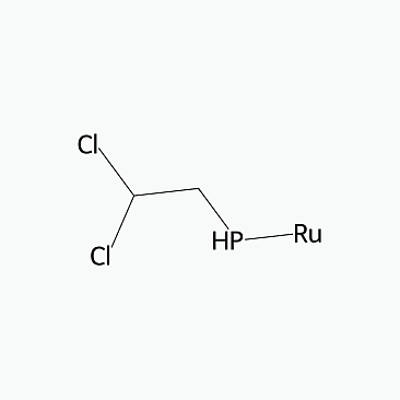 ClC(Cl)C[PH][Ru]